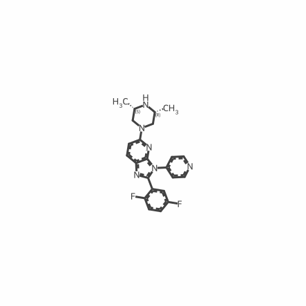 C[C@@H]1CN(c2ccc3nc(-c4cc(F)ccc4F)n(-c4ccncc4)c3n2)C[C@H](C)N1